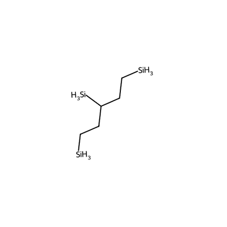 [SiH3]CCC([SiH3])CC[SiH3]